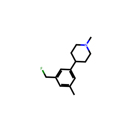 Cc1cc(CF)cc(C2CCN(C)CC2)c1